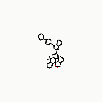 CC1(C)c2ccccc2C2(c3ccccc3Sc3ccccc32)c2ccc(-c3nc(-c4ccc(-c5ccccc5)cc4)c4ccccc4n3)cc21